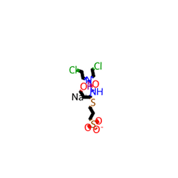 O=P1(N(CCCl)CCCl)NC(SCCCS(=O)(=O)[O-])CCO1.[Na+]